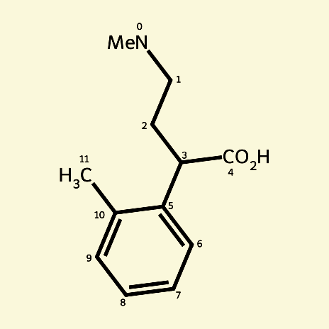 CNCCC(C(=O)O)c1ccccc1C